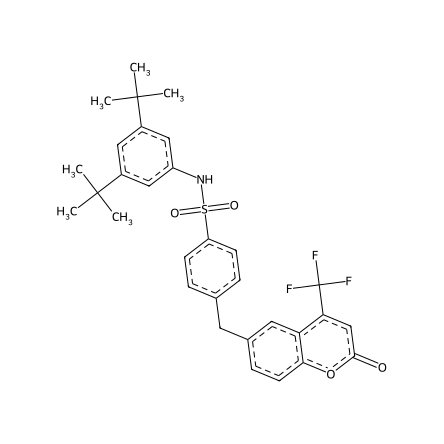 CC(C)(C)c1cc(NS(=O)(=O)c2ccc(Cc3ccc4oc(=O)cc(C(F)(F)F)c4c3)cc2)cc(C(C)(C)C)c1